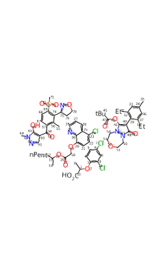 CC(Oc1ccc(Cl)cc1Cl)C(=O)O.CCCCCC(C)OC(=O)COc1ccc(Cl)c2cccnc12.CCc1cc(C)cc(CC)c1-c1c(OC(=O)C(C)(C)C)n2n(c1=O)CCOCC2.Cc1c(C(=O)c2cnn(C)c2O)ccc(S(C)(=O)=O)c1C1=NOCC1